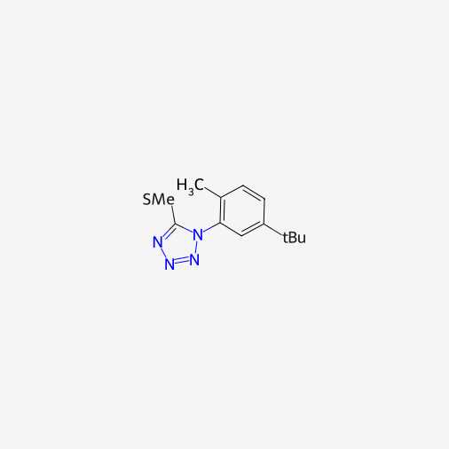 CSc1nnnn1-c1cc(C(C)(C)C)ccc1C